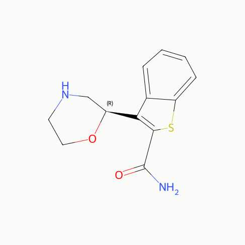 NC(=O)c1sc2ccccc2c1[C@@H]1CNCCO1